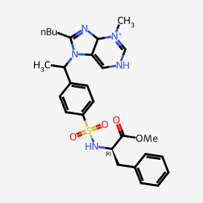 CCCCC1=NC2C(=CNC=[N+]2C)N1C(C)c1ccc(S(=O)(=O)N[C@H](Cc2ccccc2)C(=O)OC)cc1